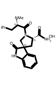 CN[C@@H](CC(C)C)C(=O)N1C[C@]2(C[C@H]1C(N)=O)C(=O)Nc1ccccc12.Cl